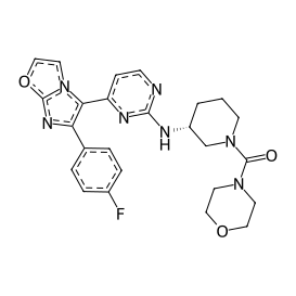 O=C(N1CCOCC1)N1CCC[C@@H](Nc2nccc(-c3c(-c4ccc(F)cc4)nc4occn34)n2)C1